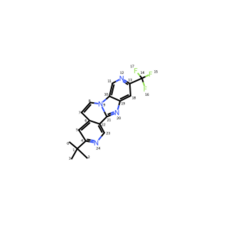 CC(C)(C)c1cc2ccn3c4cnc(C(F)(F)F)cc4nc3c2cn1